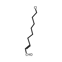 O=CC=CCCCCCCCl